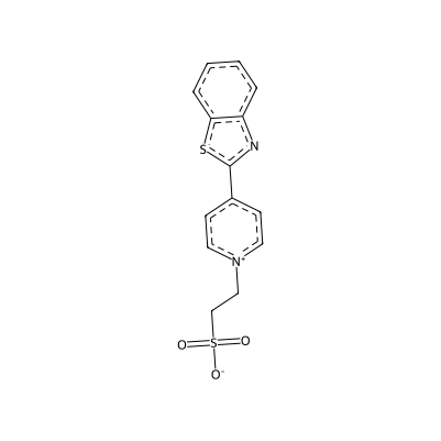 O=S(=O)([O-])CC[n+]1ccc(-c2nc3ccccc3s2)cc1